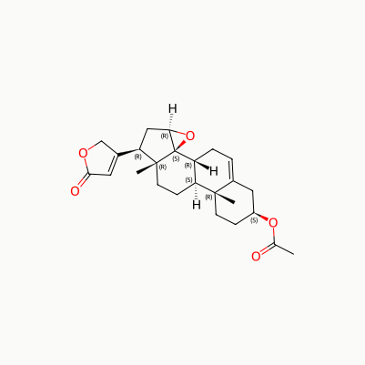 CC(=O)O[C@H]1CC[C@@]2(C)C(=CC[C@@H]3[C@@H]2CC[C@]2(C)[C@@H](C4=CC(=O)OC4)C[C@H]4O[C@]342)C1